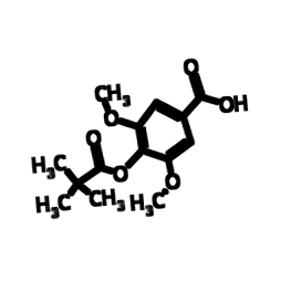 COc1cc(C(=O)O)cc(OC)c1OC(=O)C(C)(C)C